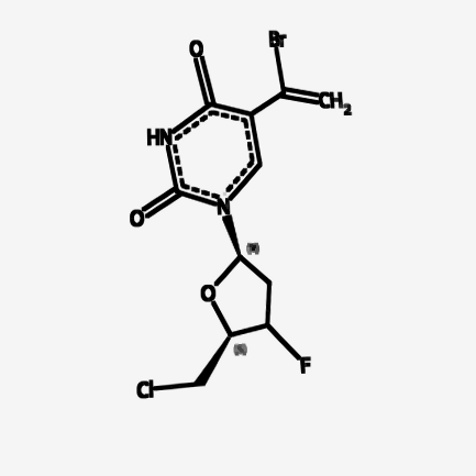 C=C(Br)c1cn([C@H]2CC(F)[C@@H](CCl)O2)c(=O)[nH]c1=O